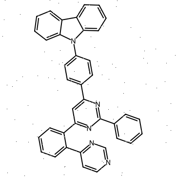 c1ccc(-c2nc(-c3ccc(-n4c5ccccc5c5ccccc54)cc3)cc(-c3ccccc3-c3ccncn3)n2)cc1